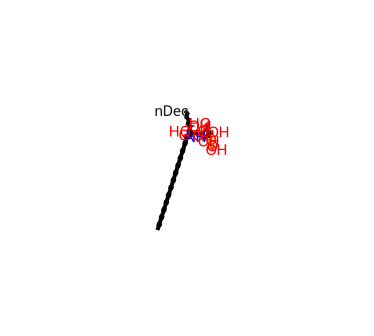 CC#CC#CC#CC#CC#CC#CC#CC#CC#CC#CC#CC#CC(=O)N[C@@H](COC1OC(CO)C(O)C(OSOO)C1O)[C@H](O)[C@H](O)CCCCCCCCCCCCCC